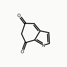 O=C1C=C2C=CN=C2C(=O)C1